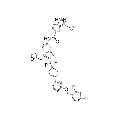 O=C(Nc1ccc2c(c1)nc(C(F)(F)N1CC=C(c3cccc(OCc4ccc(Cl)cc4F)n3)CC1)n2C[C@@H]1CCO1)c1ccc2[nH]nc(C3CC3)c2c1